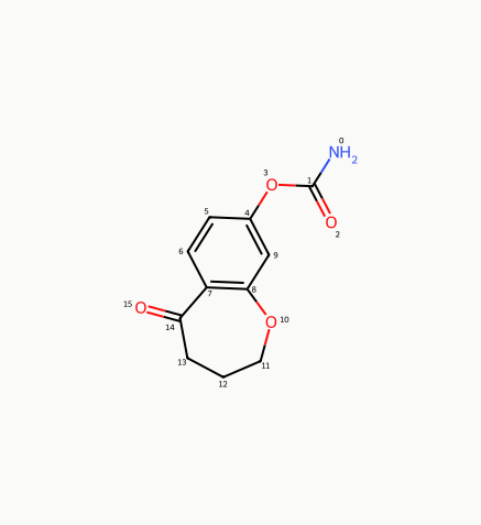 NC(=O)Oc1ccc2c(c1)OCCCC2=O